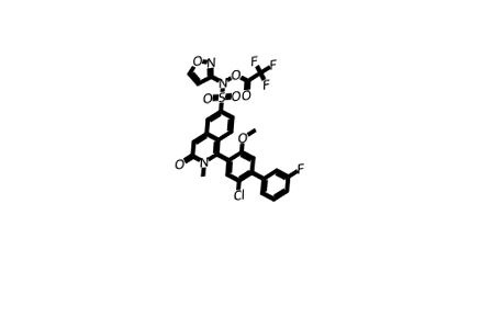 COc1cc(-c2cccc(F)c2)c(Cl)cc1-c1c2ccc(S(=O)(=O)N(OC(=O)C(F)(F)F)c3ccon3)cc2cc(=O)n1C